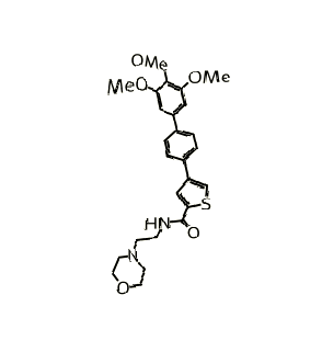 COc1cc(-c2ccc(-c3csc(C(=O)NCCN4CCOCC4)c3)cc2)cc(OC)c1OC